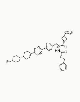 CC[C@H]1CC[C@H](C2CC=C(c3cnc(-c4ccc(C[C@H](NC(=O)OCc5ccccc5)C(=O)N5CC(C(=O)O)C5)cc4)nc3)CC2)CC1